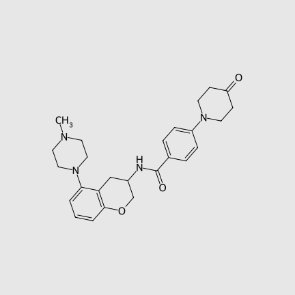 CN1CCN(c2cccc3c2CC(NC(=O)c2ccc(N4CCC(=O)CC4)cc2)CO3)CC1